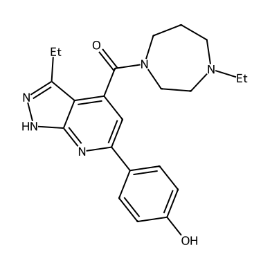 CCc1n[nH]c2nc(-c3ccc(O)cc3)cc(C(=O)N3CCCN(CC)CC3)c12